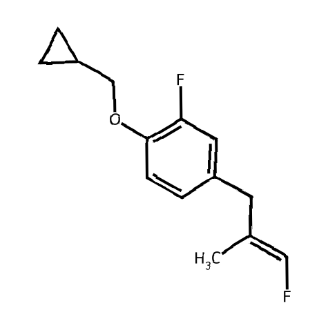 C/C(=C\F)Cc1ccc(OCC2CC2)c(F)c1